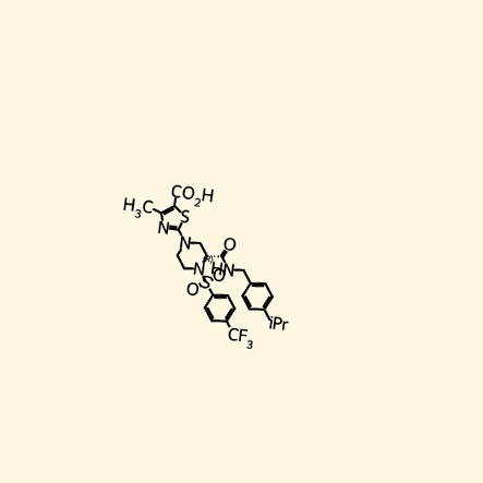 Cc1nc(N2CCN(S(=O)(=O)c3ccc(C(F)(F)F)cc3)[C@@H](C(=O)NCc3ccc(C(C)C)cc3)C2)sc1C(=O)O